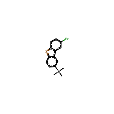 C[Si](C)(C)c1ccc2sc3ccc(Br)cc3c2c1